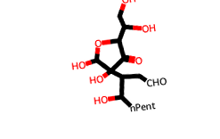 CCCCCC(O)C(CC=O)C1(O)C(=O)C(C(O)CO)OC1O